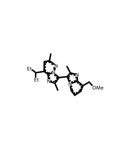 CCC(CC)c1cc(C)nn2c(-c3c(C)nc4c(COC)cccn34)c(C)nc12